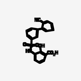 N#Cc1ccccc1-c1cccc(S(=O)(=O)Nc2cccc(C(=O)O)c2O)c1